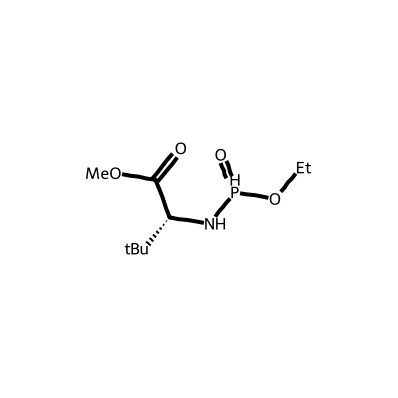 CCO[PH](=O)N[C@@H](C(=O)OC)C(C)(C)C